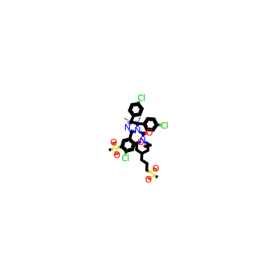 CCOc1cc(Cl)c(S(C)(=O)=O)cc1C1=N[C@@](C)(c2ccc(Cl)cc2)[C@@](C)(c2ccc(Cl)cc2)N1C(=O)N1CCC(CCCS(C)(=O)=O)CC1